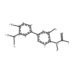 C=C(C)N(C)c1ncc(-c2ccc(F)c(C(F)F)c2)cc1C